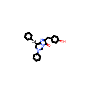 O=C1C(Cc2ccc(O)cc2)=NC2=[C]([Cd][c]3ccccc3)CN(c3ccccc3)CN12